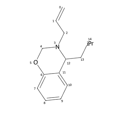 C=CCN1COc2ccccc2C1CC(C)C